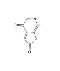 CC1=C2SC(=O)C=C2C(=O)C=N1